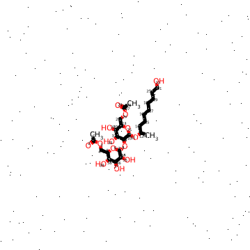 CC(=O)OCC1OC(OC2C(OC(C)CCCCCCCCO)OC(COC(C)=O)C(O)C2O)C(O)C(O)C1O